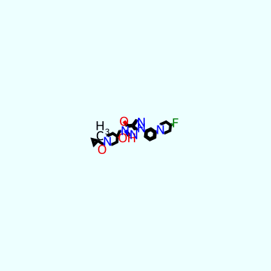 CC1(C(=O)N2CCC(O)(Cn3cnc4c(cnn4-c4cccc(N5CCC(F)CC5)c4)c3=O)CC2)CC1